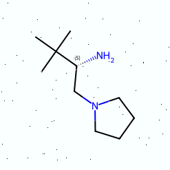 CC(C)(C)[C@H](N)CN1CCCC1